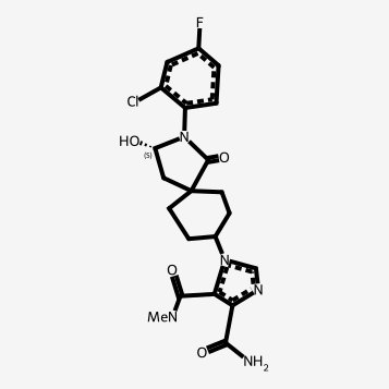 CNC(=O)c1c(C(N)=O)ncn1C1CCC2(CC1)C[C@H](O)N(c1ccc(F)cc1Cl)C2=O